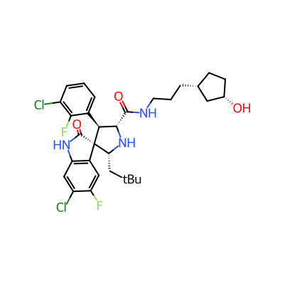 CC(C)(C)C[C@H]1N[C@@H](C(=O)NCCC[C@@H]2CC[C@H](O)C2)[C@H](c2cccc(Cl)c2F)[C@@]12C(=O)Nc1cc(Cl)c(F)cc12